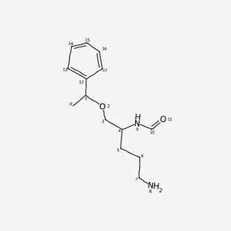 CC(OCC(CCCN)NC=O)c1ccccc1